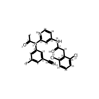 CC(=O)N(c1cc(F)cc(C#N)c1)c1cc(NC(=O)Cc2c(Cl)cccc2Cl)ccn1